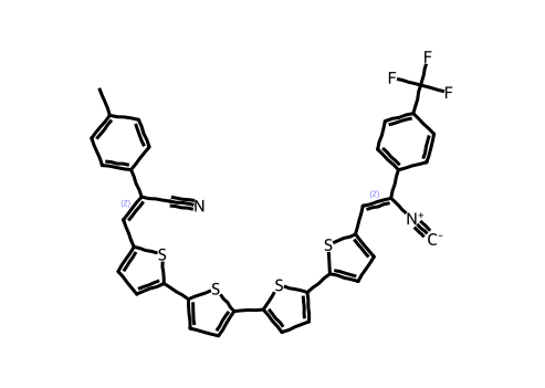 [C-]#[N+]/C(=C\c1ccc(-c2ccc(-c3ccc(-c4ccc(/C=C(\C#N)c5ccc(C)cc5)s4)s3)s2)s1)c1ccc(C(F)(F)F)cc1